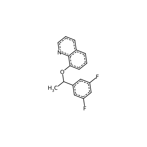 CC(Oc1cccc2cccnc12)c1cc(F)cc(F)c1